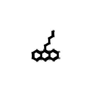 [CH]=CCCCc1c2ccccc2cc2ccccc12